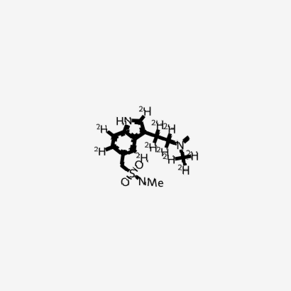 [2H]c1[nH]c2c([2H])c([2H])c(CS(=O)(=O)NC)c([2H])c2c1C([2H])([2H])C([2H])([2H])N(C)C([2H])([2H])[2H]